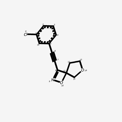 Clc1cccc(C#CC2=NOC23CCOC3)c1